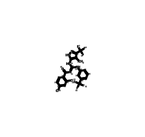 Cc1c(C(F)(F)F)n[nH]c1N/C(=N\C(=O)c1ccc(Cl)cc1Cl)Nc1cccc(C(F)(F)F)c1